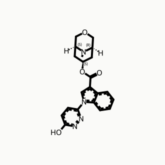 CN1[C@@H]2COC[C@H]1C[C@@H](OC(=O)c1cn(-c3ccc(O)nn3)c3ccccc13)C2